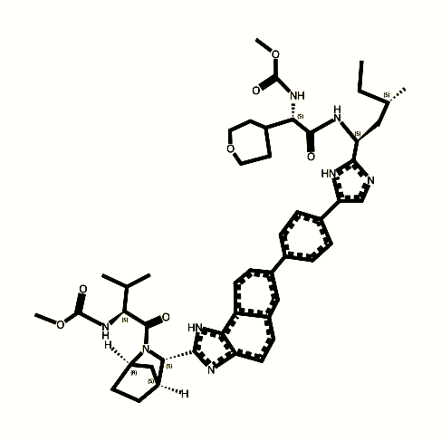 CC[C@H](C)C[C@H](NC(=O)[C@@H](NC(=O)OC)C1CCOCC1)c1ncc(-c2ccc(-c3ccc4c(ccc5nc([C@@H]6[C@H]7CC[C@H](C7)N6C(=O)[C@@H](NC(=O)OC)C(C)C)[nH]c54)c3)cc2)[nH]1